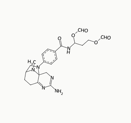 CN1C2CCC3=NC(N)=NCC31N(c1ccc(C(=O)NC(CCOC=O)OC=O)cc1)C2